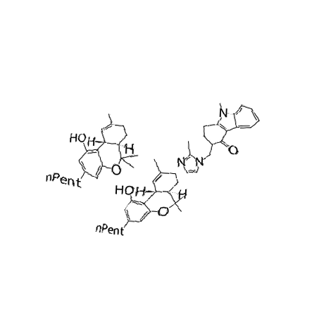 CCCCCc1cc(O)c2c(c1)OC(C)(C)[C@@H]1CCC(C)=C[C@@H]21.CCCCCc1cc(O)c2c(c1)OC(C)(C)[C@@H]1CCC(C)=C[C@@H]21.Cc1nccn1CC1CCc2c(c3ccccc3n2C)C1=O